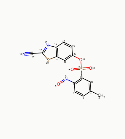 Cc1ccc(N=O)c(S(=O)(=O)Oc2ccc3nc(C#N)sc3c2)c1